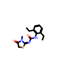 CCc1cccc(CC)c1NC(=O)/N=C1/SCC(=O)N1C